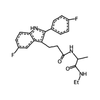 CCNC(=O)C(C)NC(=O)CCc1c(-c2ccc(F)cc2)[nH]c2ccc(F)cc12